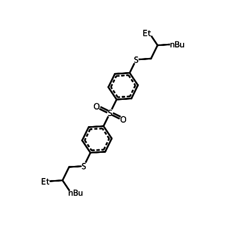 CCCCC(CC)CSc1ccc(S(=O)(=O)c2ccc(SCC(CC)CCCC)cc2)cc1